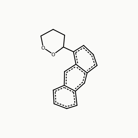 c1ccc2cc3c([C]4CCCOO4)cccc3cc2c1